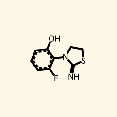 N=C1SCCN1c1c(O)cccc1F